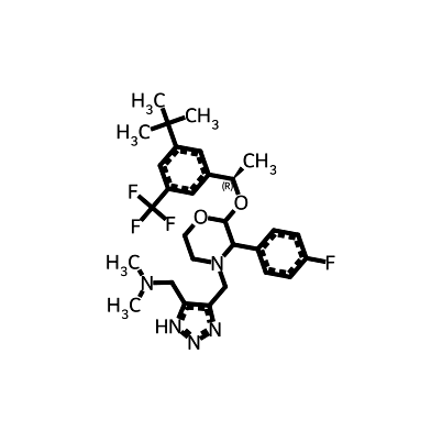 C[C@@H](OC1OCCN(Cc2nn[nH]c2CN(C)C)C1c1ccc(F)cc1)c1cc(C(C)(C)C)cc(C(F)(F)F)c1